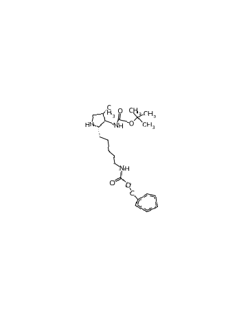 CC1CN[C@@H](CCCCCNC(=O)OCc2ccccc2)C1NC(=O)OC(C)(C)C